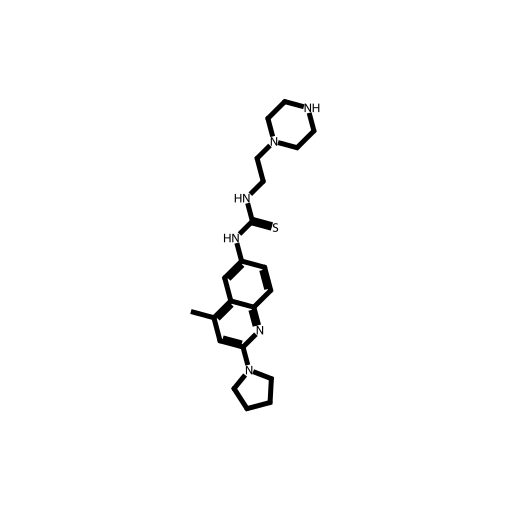 Cc1cc(N2CCCC2)nc2ccc(NC(=S)NCCN3CCNCC3)cc12